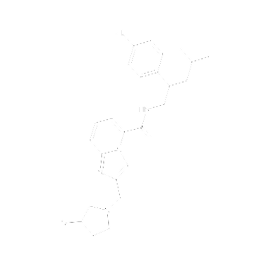 CC(C)CC(CNC(=O)c1cccc2nc(CN3CCC(N)C3)cn12)c1ccc(Cl)cc1